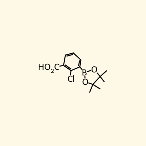 CC1(C)OB(c2cccc(C(=O)O)c2Cl)OC1(C)C